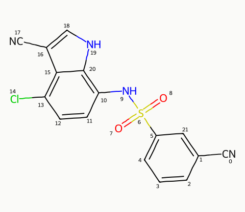 N#Cc1cccc(S(=O)(=O)Nc2ccc(Cl)c3c(C#N)c[nH]c23)c1